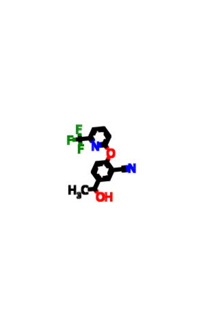 CC(O)c1ccc(Oc2cccc(C(F)(F)F)n2)c(C#N)c1